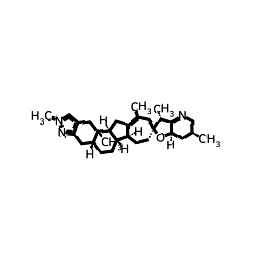 CC1=C2C[C@H]3[C@@H](CC[C@@H]4Cc5nn(C)cc5C[C@@]43C)[C@@H]2CC[C@@]2(C1)O[C@@H]1C[C@H](C)CN=C1[C@H]2C